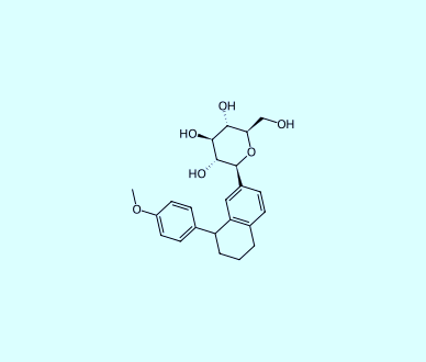 COc1ccc(C2CCCc3ccc([C@@H]4O[C@H](CO)[C@@H](O)[C@H](O)[C@H]4O)cc32)cc1